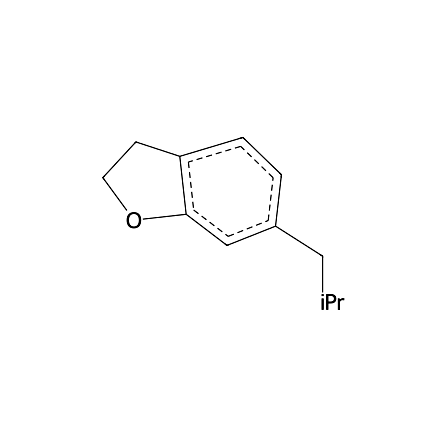 CC(C)Cc1ccc2c(c1)OCC2